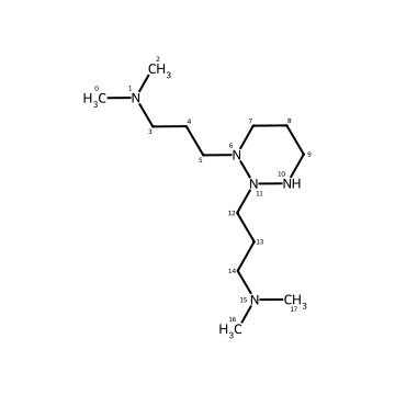 CN(C)CCCN1CCCNN1CCCN(C)C